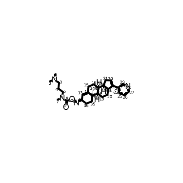 CN(C)CCCN(C)C(=O)ON=C1C=C2CC[C@H]3[C@H](CC[C@]4(C)C(c5cccnc5)=CC[C@@H]34)[C@@]2(C)CC1